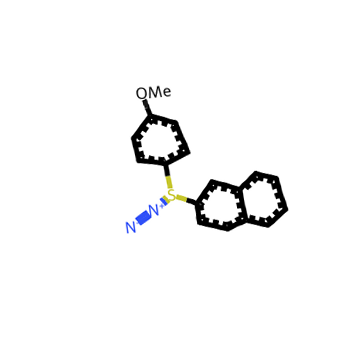 COc1ccc(S(=[N+]=[N-])c2ccc3ccccc3c2)cc1